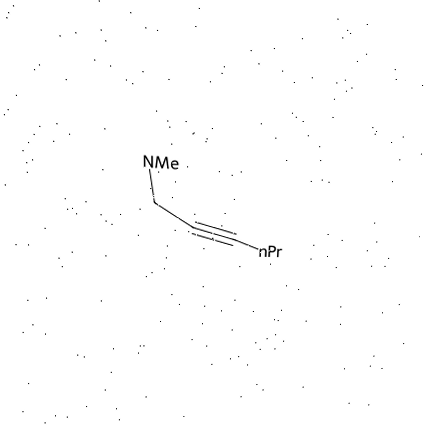 CCCC#CCNC